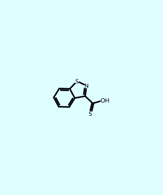 OC(=S)c1nsc2ccccc12